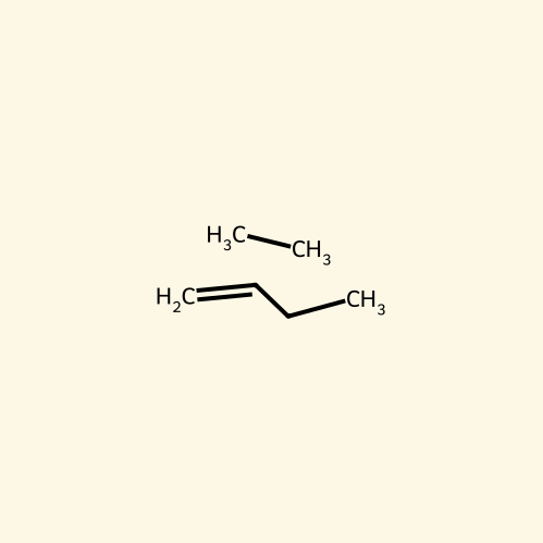 C=CCC.CC